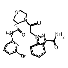 NC(=O)c1nn(CC(=O)N2CCOC[C@H]2C(=O)Nc2cccc(Br)n2)c2ccccc12